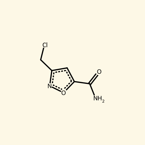 NC(=O)c1cc(CCl)no1